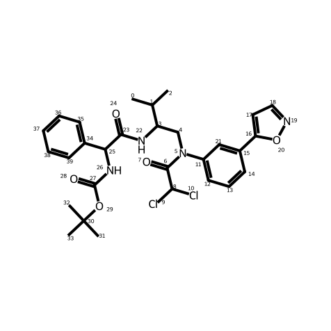 CC(C)C(CN(C(=O)C(Cl)Cl)c1cccc(-c2ccno2)c1)NC(=O)C(NC(=O)OC(C)(C)C)c1ccccc1